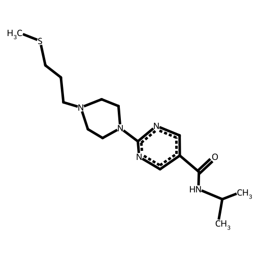 CSCCCN1CCN(c2ncc(C(=O)NC(C)C)cn2)CC1